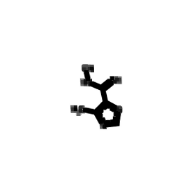 Cc1ncoc1C(=N)NO